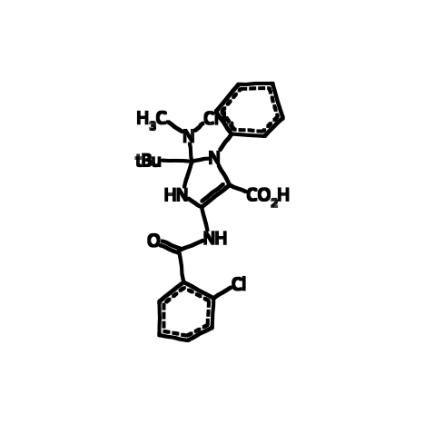 CN(C)C1(C(C)(C)C)NC(NC(=O)c2ccccc2Cl)=C(C(=O)O)N1c1ccccc1